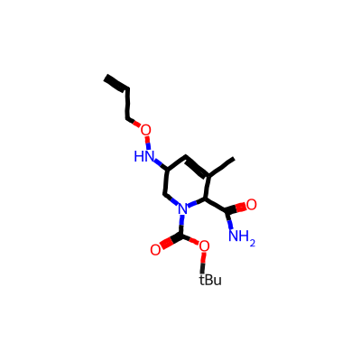 C=CCONC1C=C(C)C(C(N)=O)N(C(=O)OC(C)(C)C)C1